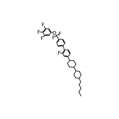 CCCCCC1CCC(C2CCC(c3ccc(-c4ccc(C(F)(F)Oc5cc(F)c(F)c(F)c5)cc4)c(F)c3)CC2)CC1